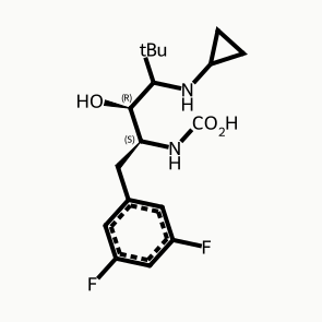 CC(C)(C)C(NC1CC1)[C@H](O)[C@H](Cc1cc(F)cc(F)c1)NC(=O)O